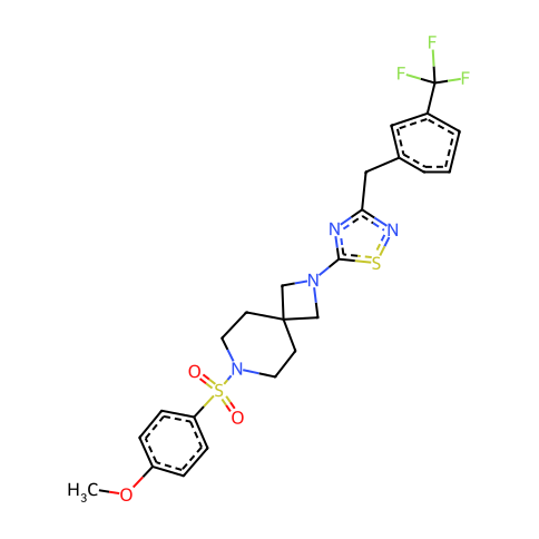 COc1ccc(S(=O)(=O)N2CCC3(CC2)CN(c2nc(Cc4cccc(C(F)(F)F)c4)ns2)C3)cc1